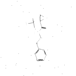 O=C(NCCc1ccccc1)[C@@]1(C(F)(F)F)CO1